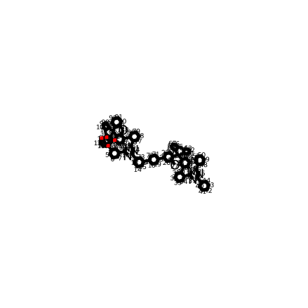 c1ccc(-c2cccc(-c3nc(-c4cccc(-c5ccc(-c6ccc7c(c6)Oc6c(-c8ccccc8-c8nc(-c9ccccc9)nc(-c9ccccn9)n8)cccc6C76c7ccccc7-c7ccccc76)cc5)c4)nc(-c4ccccc4-c4cccc5c4Oc4ccccc4C54c5ccccc5-c5ccccc54)n3)c2)cc1